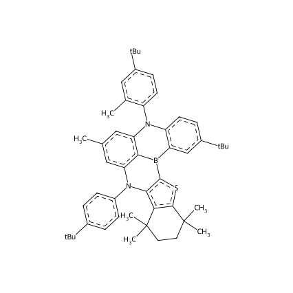 Cc1cc2c3c(c1)N(c1ccc(C(C)(C)C)cc1)c1c(sc4c1C(C)(C)CCC4(C)C)B3c1cc(C(C)(C)C)ccc1N2c1ccc(C(C)(C)C)cc1C